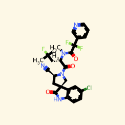 CN(C(=O)C(F)(F)c1cccnc1)[C@@H](CC(C)(C)F)C(=O)N1C[C@]2(C[C@H]1C#N)C(=O)Nc1ccc(Cl)cc12